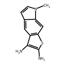 Cn1ccc2cc3c(N)c(N)sc3cc21